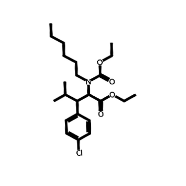 CCCCCCN(C(=O)OCC)C(C(=O)OCC)C(c1ccc(Cl)cc1)C(C)C